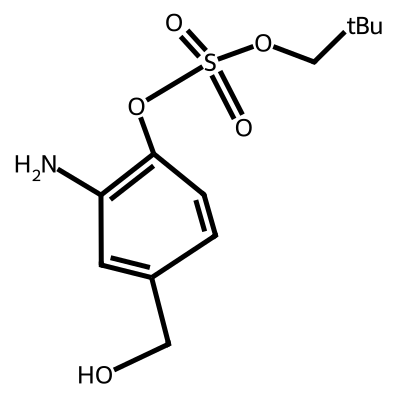 CC(C)(C)COS(=O)(=O)Oc1ccc(CO)cc1N